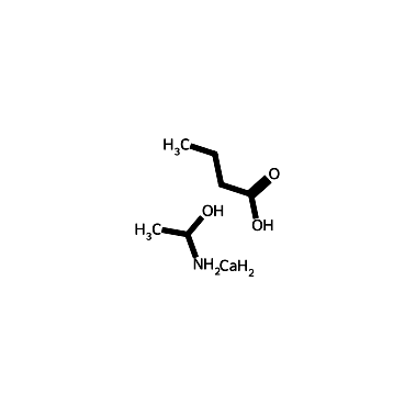 CC(N)O.CCCC(=O)O.[CaH2]